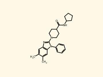 Cc1cc2nc(N3CCC(C(=O)NC4CCCC4)CC3)n(-c3ccccc3)c2cc1C